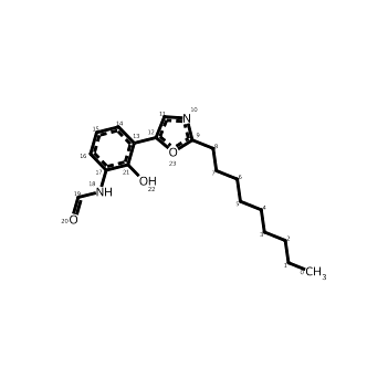 CCCCCCCCCc1ncc(-c2cccc(NC=O)c2O)o1